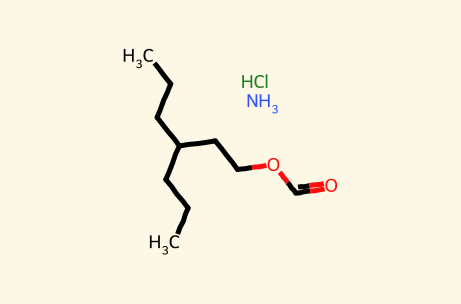 CCCC(CCC)CCOC=O.Cl.N